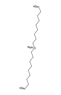 CCCCCCCCCCCCCCCCCCOCCCCCCCCCCCCCCCCCC.[NaH]